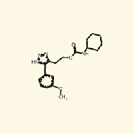 COc1cccc(-c2[nH]nnc2CCOC(=O)NC2CCCCC2)c1